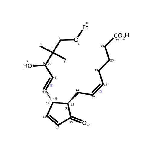 CCOCC(C)(C)[C@H](O)/C=C/[C@H]1C=CC(=O)[C@@H]1C/C=C\CCCC(=O)O